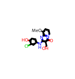 COc1cccn2c(=O)c(CO)c(Nc3ccc(O)c(Cl)c3)nc12